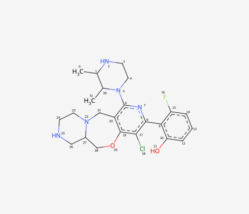 CC1NCCN(c2nc(-c3c(O)cccc3F)c(Cl)c3c2CN2CCNCC2CO3)C1C